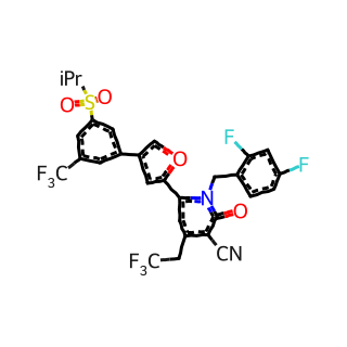 CC(C)S(=O)(=O)c1cc(-c2coc(-c3cc(CC(F)(F)F)c(C#N)c(=O)n3Cc3ccc(F)cc3F)c2)cc(C(F)(F)F)c1